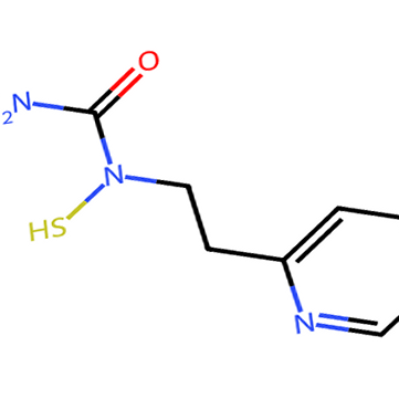 NC(=O)N(S)CCc1ccccn1